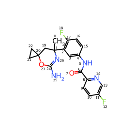 CC1(c2cc(NC(=O)c3ccc(F)cn3)ccc2F)CC2(CC2)OC(N)=N1